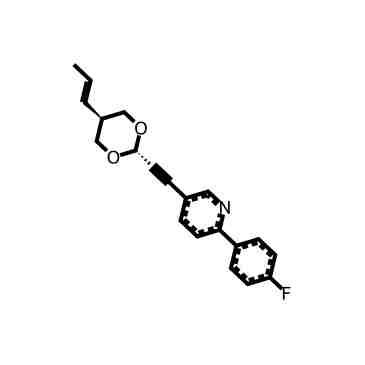 C/C=C/[C@H]1CO[C@H](C#Cc2ccc(-c3ccc(F)cc3)nc2)OC1